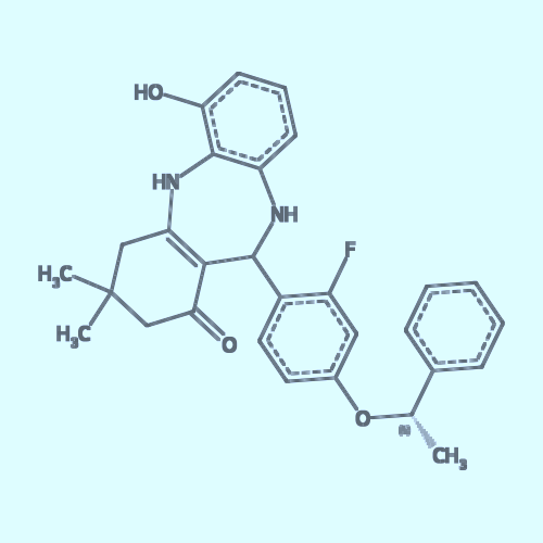 C[C@H](Oc1ccc(C2Nc3cccc(O)c3NC3=C2C(=O)CC(C)(C)C3)c(F)c1)c1ccccc1